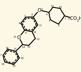 O=C(O)C1CCC(Oc2ccc3c(c2)CCC(c2ccccc2)O3)CC1